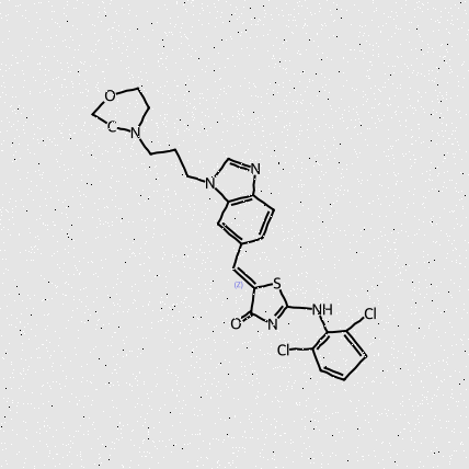 O=C1N=C(Nc2c(Cl)cccc2Cl)S/C1=C\c1ccc2ncn(CCCN3CCOCC3)c2c1